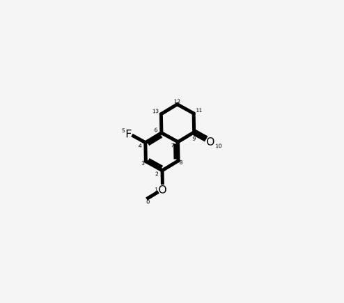 COc1cc(F)c2c(c1)C(=O)CCC2